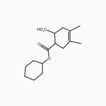 CC1=C(C)CC(C(=O)OC2CCCCC2)C(C(=O)O)C1